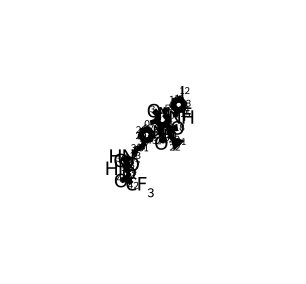 Cc1c(=O)n(C)c(Nc2ccc(I)cc2F)c2c(=O)n(C3CC3)c(=O)n(-c3cccc(CCCNS(=O)(=O)NOC(=O)C(F)(F)F)c3)c12